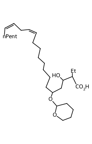 CCCCC/C=C\C/C=C\CCCCCCCC(CC(O)C(CC)C(=O)O)OC1CCCCO1